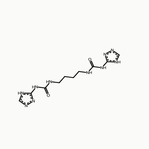 O=C(NCCCCNC(=O)Nc1nnc[nH]1)Nc1nnc[nH]1